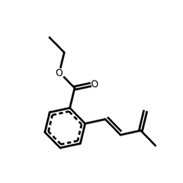 C=C(C)C=Cc1ccccc1C(=O)OCC